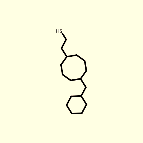 SCCC1CCCC(CC2CCCCC2)CCC1